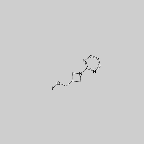 IOCC1CN(c2ncccn2)C1